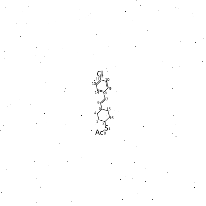 CC(=O)SC1CCC(C=Cc2ccc(Cl)cc2)CC1